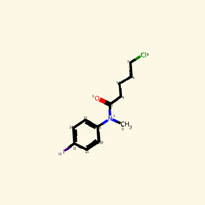 CN(C(=O)CCCCCl)c1ccc(I)cc1